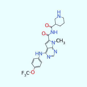 Cn1c(C(=O)NC(=O)C2CCCNC2)cc2c(Nc3ccc(OC(F)(F)F)cc3)ncnc21